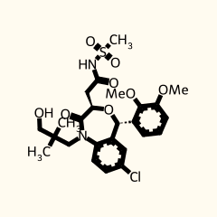 COc1cccc([C@H]2O[C@H](CC(=O)NS(C)(=O)=O)C(=O)N(CC(C)(C)CO)c3ccc(Cl)cc32)c1OC